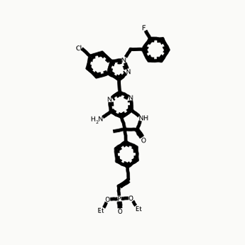 CCOP(=O)(C=Cc1ccc(C2(C)C(=O)Nc3nc(-c4nn(Cc5ccccc5F)c5cc(Cl)ccc45)nc(N)c32)cc1)OCC